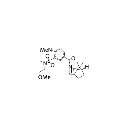 CNc1ccc(C(=O)NC2C(C)(C)[C@@H]3CC[C@@]2(C)C3)cc1S(=O)(=O)N(C)CCOC